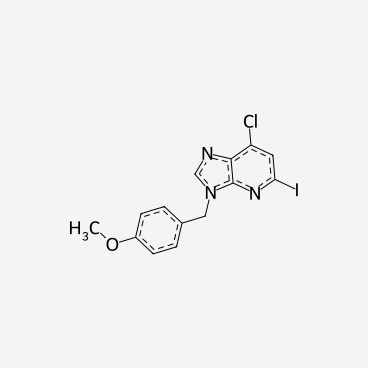 COc1ccc(Cn2cnc3c(Cl)cc(I)nc32)cc1